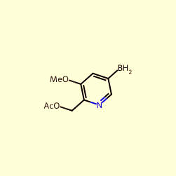 Bc1cnc(COC(C)=O)c(OC)c1